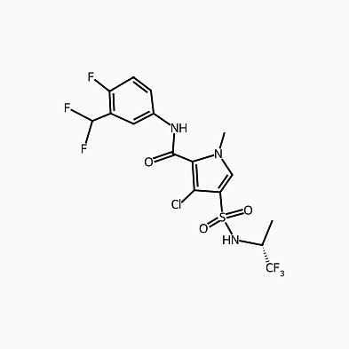 C[C@@H](NS(=O)(=O)c1cn(C)c(C(=O)Nc2ccc(F)c(C(F)F)c2)c1Cl)C(F)(F)F